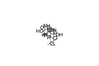 Cc1csc(-c2ccc(O)c3c2C[C@@H]2C[C@@H]4[C@@H](N(C)C)C(O)=C(C(N)=O)C(=O)[C@@]4(O)C(O)=C2C3=O)c1